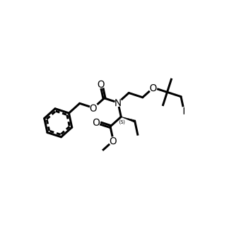 CC[C@@H](C(=O)OC)N(CCOC(C)(C)CI)C(=O)OCc1ccccc1